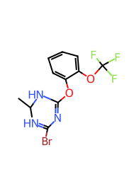 CC(C)N/C(=N\C(=N)Br)Oc1ccccc1OC(F)(F)F